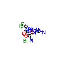 COC(=O)C1=C(C)N(c2cccc(C(F)(F)F)c2)c2n[nH]c(=O)n2[C@@H]1c1ccc(C#N)cc1CC[N+](C)(C)Cc1ccc(C#N)nc1.[Br-]